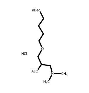 CCCCCCCCCCCCCCOCC(CN(C)C)OC(C)=O.Cl